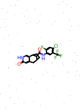 O=C(Nc1cc(C(F)(F)F)c(Cl)cc1F)C1C2CCC1c1c[nH]c(=O)cc1C2